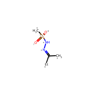 CCC(C)=NNS(C)(=O)=O